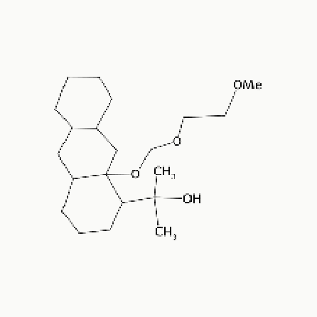 COCCOCOC12CC3CCCCC3CC1CCCC2C(C)(C)O